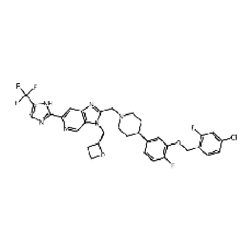 Fc1cc(Cl)ccc1COc1cc(C2CCN(Cc3nc4cc(-c5nnc(C(F)(F)F)[nH]5)ncc4n3C[C@@H]3CCO3)CC2)ccc1F